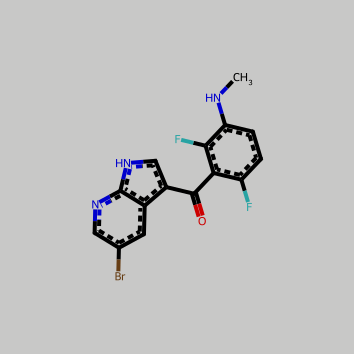 CNc1ccc(F)c(C(=O)c2c[nH]c3ncc(Br)cc23)c1F